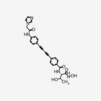 C[C@@H](O)[C@H](NC(=O)c1ccc(C#CC#Cc2ccc(NC(=O)Cn3ccnc3)cc2)cc1)C(=O)NO